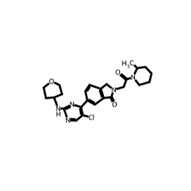 CC1CCCCN1C(=O)CN1Cc2ccc(-c3nc(NC4CCOCC4)ncc3Cl)cc2C1=O